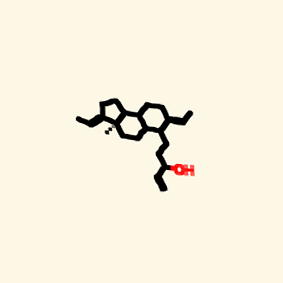 C=CC(O)CCC1/C(=C/C)CCC2C1CC[C@@]1(C)/C(=C/C)CCC21